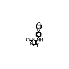 Fc1cnc(Cl)nc1Nc1ccc(N2CCOCC2)cc1